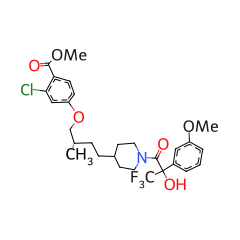 COC(=O)c1ccc(OC[C@@H](C)CCC2CCN(C(=O)C(O)(c3cccc(OC)c3)C(F)(F)F)CC2)cc1Cl